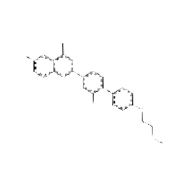 CCOCCOc1ccc(-c2ccc(-c3cc(C)c4cc(F)ccc4n3)cc2F)cc1